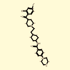 O=C(NC1CCC(CCN2CCC(C(=O)c3ccc(F)cc3Cl)CC2)CC1)c1ccc(N2CCOCC2)cc1